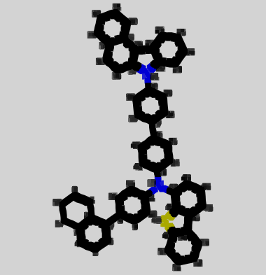 C1=Cc2c(cccc2-c2ccc(N(c3ccc(-c4ccc(-n5c6ccccc6c6c7ccccc7ccc65)cc4)cc3)c3cccc4c3sc3ccccc34)cc2)CC1